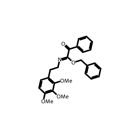 COc1ccc(CCN=C(OCc2ccccc2)C(=O)c2ccccc2)c(OC)c1OC